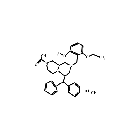 CCOc1cccc(OC)c1CN1CC2CN(C(C)=O)CCN2C(C(c2ccccc2)c2ccccc2)C1.Cl.Cl